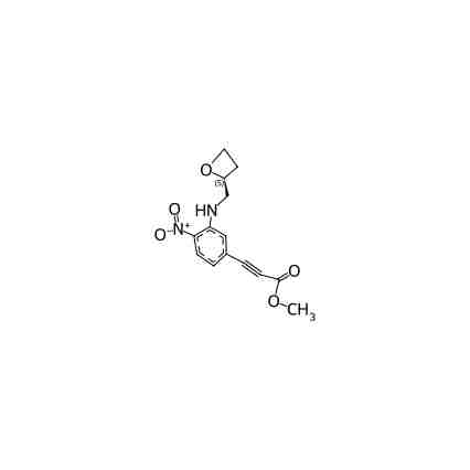 COC(=O)C#Cc1ccc([N+](=O)[O-])c(NC[C@@H]2CCO2)c1